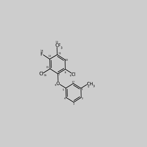 Cc1cccc(Oc2c(Cl)cc(C(F)(F)F)c(F)c2Cl)c1